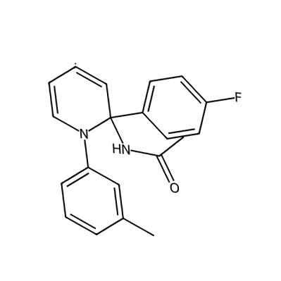 CC(=O)NC1(c2ccc(F)cc2)C=[C]C=CN1c1cccc(C)c1